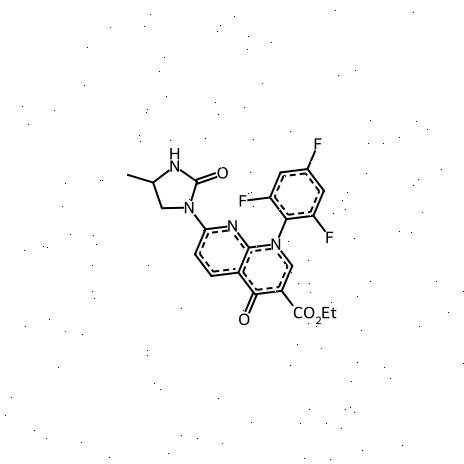 CCOC(=O)c1cn(-c2c(F)cc(F)cc2F)c2nc(N3CC(C)NC3=O)ccc2c1=O